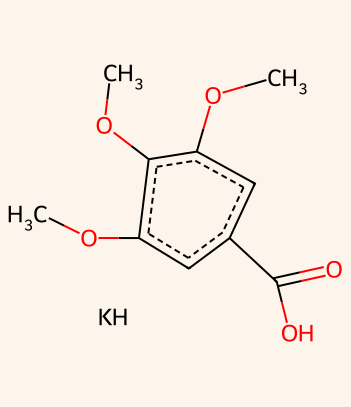 COc1cc(C(=O)O)cc(OC)c1OC.[KH]